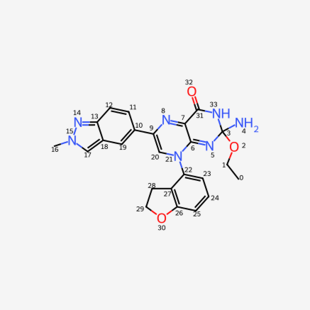 CCOC1(N)N=C2C(=NC(c3ccc4nn(C)cc4c3)=CN2c2cccc3c2CCO3)C(=O)N1